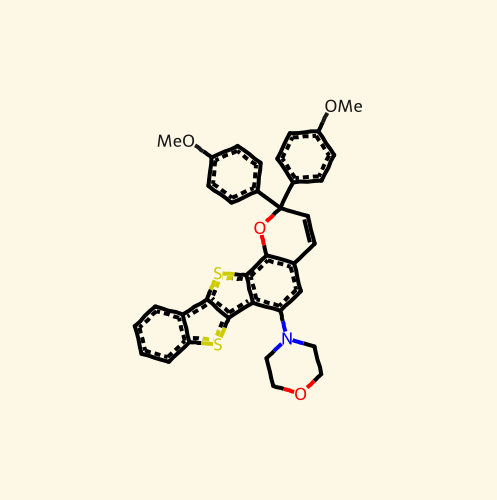 COc1ccc(C2(c3ccc(OC)cc3)C=Cc3cc(N4CCOCC4)c4c(sc5c6ccccc6sc54)c3O2)cc1